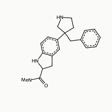 CNC(=O)C1Cc2cc(C3(Cc4ccccc4)CCNC3)ccc2N1